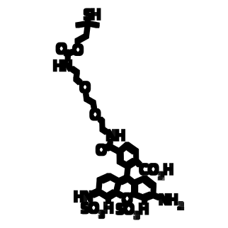 CC(C)(S)CCOC(=O)NCCOCCOCCNC(=O)c1ccc(C(=O)O)c(-c2c3ccc(=N)c(S(=O)(=O)O)c-3oc3c(S(=O)(=O)O)c(N)ccc23)c1